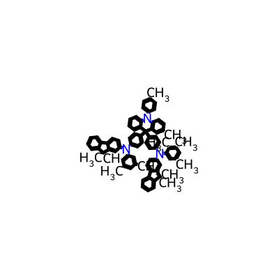 Cc1ccc(N2c3ccccc3C(c3ccc(N(c4cc(C)cc(C)c4)c4ccc5c(c4)C(C)(C)c4ccccc4-5)cc3)(c3ccc(N(c4ccc5c(c4)C(C)(C)c4ccccc4-5)c4cc(C)cc(C)c4C)cc3)c3cc(C)ccc32)cc1